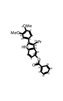 COc1ccc(-c2[nH]c3ccc(OC(=O)c4ccccc4)cc3c2C(C)C)cc1OC